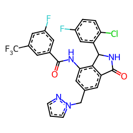 O=C(Nc1cc(Cn2cccn2)cc2c1C(c1cc(F)ccc1Cl)NC2=O)c1cc(F)cc(C(F)(F)F)c1